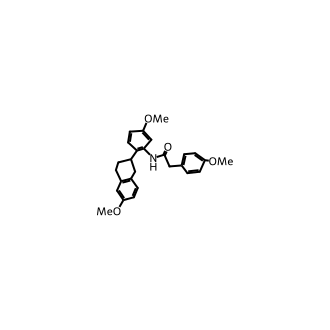 COc1ccc(CC(=O)Nc2cc(OC)ccc2C2CCc3cc(OC)ccc3C2)cc1